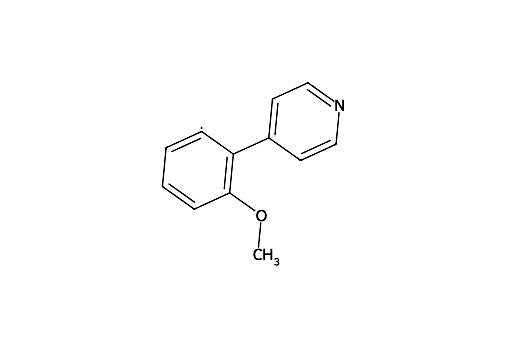 COc1ccc[c]c1-c1ccncc1